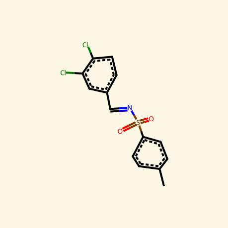 Cc1ccc(S(=O)(=O)N=Cc2ccc(Cl)c(Cl)c2)cc1